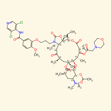 CC[C@H]1OC(=O)[C@H](C)[C@@H](OC(=O)CN2CCOCC2)[C@H](C)[C@@H](O[C@@H]2O[C@H](C)C[C@H](N(C)C)[C@H]2OC(C)=O)[C@](C)(OC)C[C@@H](C)C(=O)[C@H](C)[C@H]2N(CCCOc3cc(C(=O)Nc4c(Cl)cncc4Cl)ccc3OC)C(=O)O[C@]12C